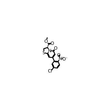 COC(=O)[C@@H]1CSc2cc(-c3cc(Cl)ccc3[N+](=O)[O-])cc(=O)n21